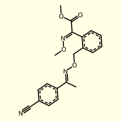 CO/N=C(/C(=O)OC)c1ccccc1CO/N=C(\C)c1ccc(C#N)cc1